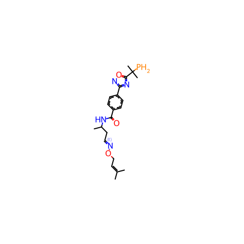 CC(C)=CCO/N=C/CC(C)NC(=O)c1ccc(-c2noc(C(C)(C)P)n2)cc1